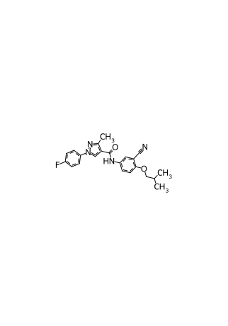 Cc1nn(-c2ccc(F)cc2)cc1C(=O)Nc1ccc(OCC(C)C)c(C#N)c1